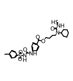 Cc1ccc(S(=O)(=O)NC(=O)Nc2ccc(C(=O)OCCCCN(C(=O)NS)C3CCCCC3)cc2)cc1